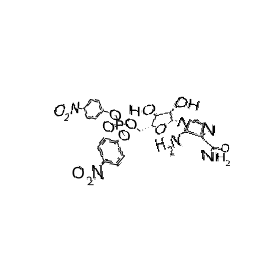 NC(=O)c1ncn([C@@H]2O[C@H](COP(=O)(Oc3ccc([N+](=O)[O-])cc3)Oc3ccc([N+](=O)[O-])cc3)[C@@H](O)[C@H]2O)c1N